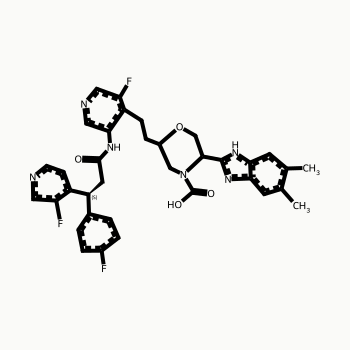 Cc1cc2nc(C3COC(CCc4c(F)cncc4NC(=O)C[C@@H](c4ccc(F)cc4)c4ccncc4F)CN3C(=O)O)[nH]c2cc1C